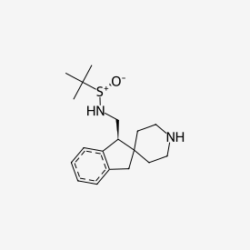 CC(C)(C)[S@@+]([O-])NC[C@@H]1c2ccccc2CC12CCNCC2